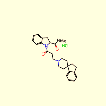 CNC(=O)C1Cc2ccccc2N1C(=O)CCN1CCC2(CCc3ccccc32)CC1.Cl